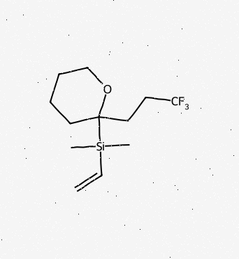 C=C[Si](C)(C)C1(CCC(F)(F)F)CCCCO1